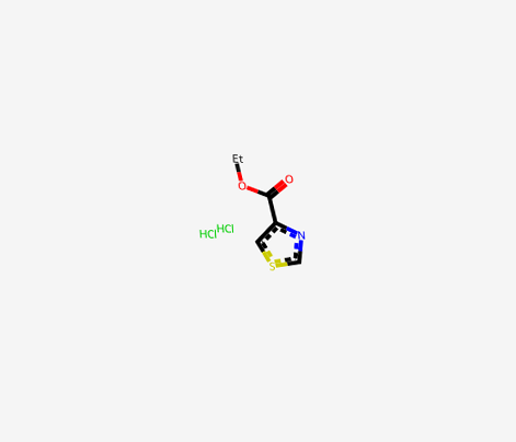 CCOC(=O)c1cscn1.Cl.Cl